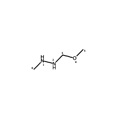 CNNCOC